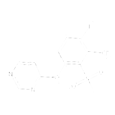 CS(=O)(=O)c1c(Oc2ccncn2)ccc(I)c1C(F)(F)F